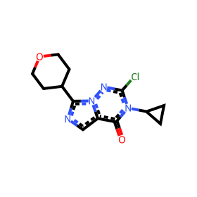 O=c1c2cnc(C3CCOCC3)n2nc(Cl)n1C1CC1